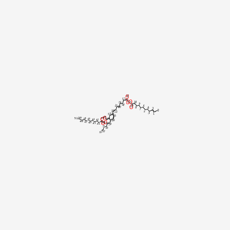 CCCCCCCCCCCC(=O)OOC(=O)CCCCCCCC1C=CC(CCCCCC)C(C(=O)OOC(=O)CCCCCCCCCCC)C1